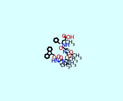 CC[C@H](NC(=O)OCC1c2ccccc2-c2ccccc21)C(=O)N(C)[C@@H](C[C@@H](OC(C)=O)c1nc(C(=O)N[C@H](Cc2ccccc2)C[C@H](C)C(=O)O)cs1)C(C)C